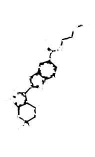 CC(C)OCCNC(=O)c1ccc2[nH]c(-c3n[nH]c4c3CCC(C)(C)C4)cc2c1